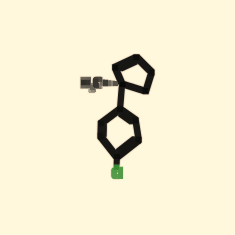 C[C@]1(c2ccc(Cl)cc2)C=CCC1